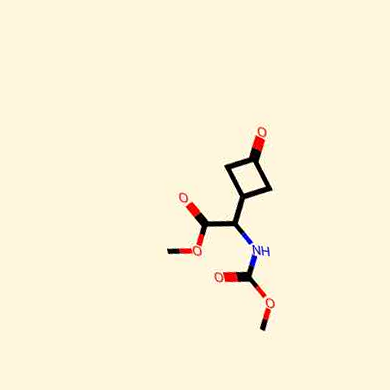 COC(=O)NC(C(=O)OC)C1CC(=O)C1